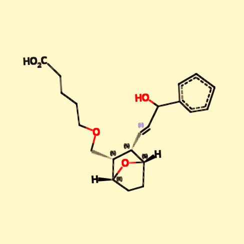 O=C(O)CCCCOC[C@@H]1[C@H](/C=C/C(O)c2ccccc2)[C@@H]2CC[C@H]1O2